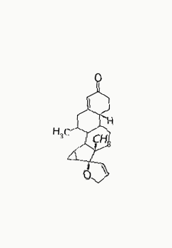 CC1CC2=CC(=O)CC[C@@H]2C2CC[C@@]3(C)C(C4CC4[C@@]34C=CCO4)C12